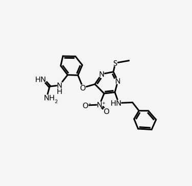 CSc1nc(NCc2ccccc2)c([N+](=O)[O-])c(Oc2ccccc2NC(=N)N)n1